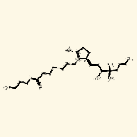 CCCCOC(=O)CCCCCC[C@@H]1C(=CCC(O)C(C)(C)CCCC)CC[C@H]1O